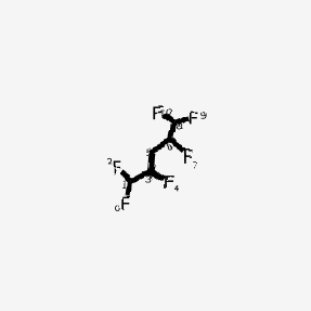 FC(F)C(F)CC(F)C(F)F